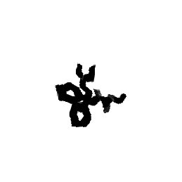 CCOC(=O)NCC(CCN(CC)CC)(c1ccccc1)c1ccccc1